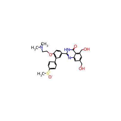 CN(C)CCOc1ccc(-c2nc3cc(CO)cc(CO)c3c(=O)[nH]2)cc1-c1ccc([S+](C)[O-])cc1